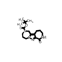 CC(C)(C)OC(=O)N1CCCn2nc3c(c2C1)CCCNC3=O